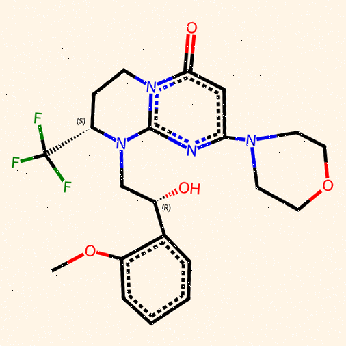 COc1ccccc1[C@@H](O)CN1c2nc(N3CCOCC3)cc(=O)n2CC[C@H]1C(F)(F)F